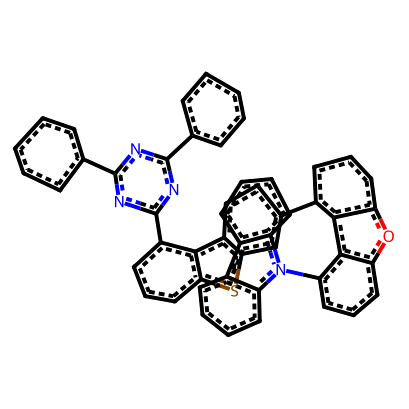 c1ccc(-c2nc(-c3ccccc3)nc(-c3cccc4sc5cc(-c6cccc7oc8cccc(-n9c%10ccccc%10c%10ccccc%109)c8c67)ccc5c34)n2)cc1